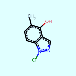 Cc1ccc2c(cnn2Cl)c1O